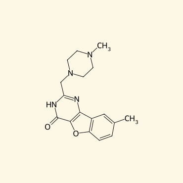 Cc1ccc2oc3c(=O)[nH]c(CN4CCN(C)CC4)nc3c2c1